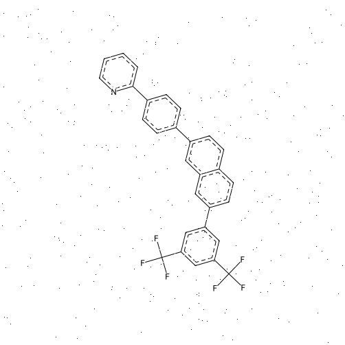 FC(F)(F)c1cc(-c2ccc3ccc(-c4ccc(-c5ccccn5)cc4)cc3c2)cc(C(F)(F)F)c1